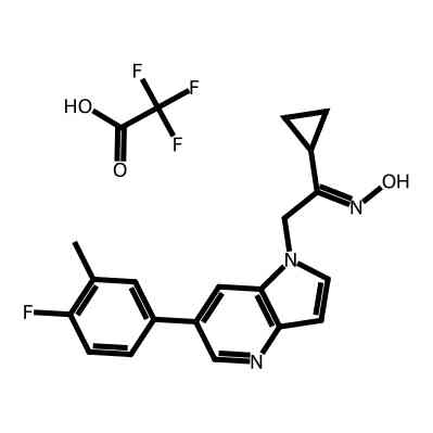 Cc1cc(-c2cnc3ccn(CC(=NO)C4CC4)c3c2)ccc1F.O=C(O)C(F)(F)F